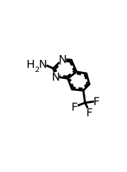 Nc1ncc2ccc(C(F)(F)F)cc2n1